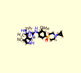 CCCNC1(C)NC(Nc2ccc(P3(=O)CCN(C4CC4)CC3)cc2OC)=Nc2[nH]cc(C#N)c21